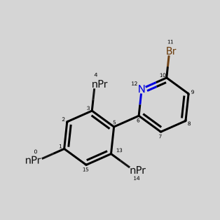 CCCc1cc(CCC)c(-c2cccc(Br)n2)c(CCC)c1